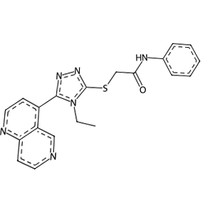 CCn1c(SCC(=O)Nc2ccccc2)nnc1-c1ccnc2ccncc12